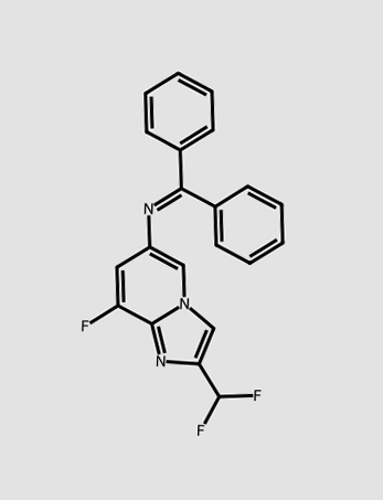 Fc1cc(N=C(c2ccccc2)c2ccccc2)cn2cc(C(F)F)nc12